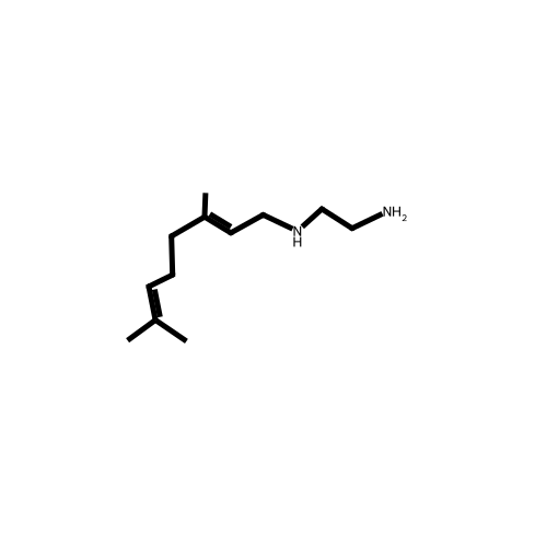 CC(C)=CCCC(C)=CCNCCN